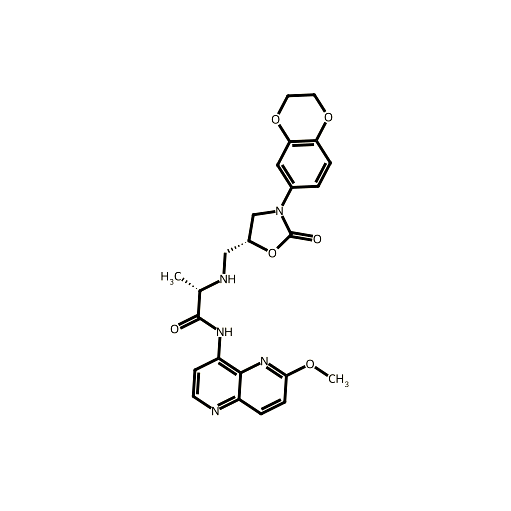 COc1ccc2nccc(NC(=O)[C@H](C)NC[C@@H]3CN(c4ccc5c(c4)OCCO5)C(=O)O3)c2n1